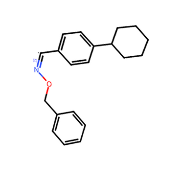 [C](=N/OCc1ccccc1)/c1ccc(C2CCCCC2)cc1